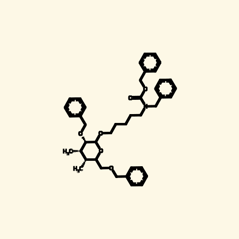 C[C@@H]1[C@H](OCc2ccccc2)C(OCCCCCN(Cc2ccccc2)C(=O)OCc2ccccc2)OC(COCc2ccccc2)[C@@H]1C